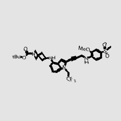 COc1cc(S(C)(=O)=O)ccc1NCC#Cc1cc2c(NC3CC4(C3)CN(C(=O)OC(C)(C)C)C4)cccc2n1CC(F)(F)F